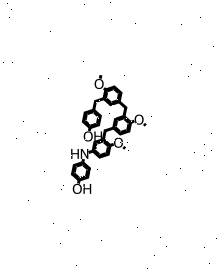 COc1ccc(Cc2cc(Cc3cc(Nc4ccc(O)cc4)ccc3OC)ccc2OC)cc1Cc1ccc(O)cc1